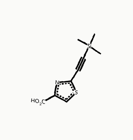 C[Si](C)(C)C#Cc1nc(C(=O)O)cs1